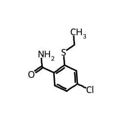 CCSc1cc(Cl)ccc1C(N)=O